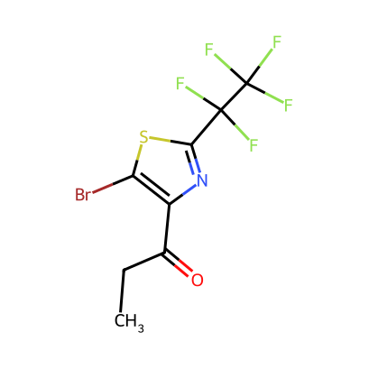 CCC(=O)c1nc(C(F)(F)C(F)(F)F)sc1Br